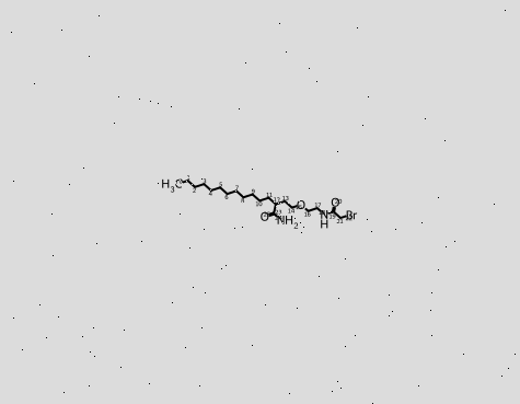 CCCCCCCCCCCCC(CCOCCNC(=O)CBr)C(N)=O